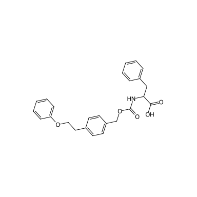 O=C(NC(Cc1ccccc1)C(=O)O)OCc1ccc(CCOc2ccccc2)cc1